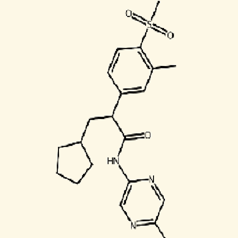 Cc1cc(C(CC2CCCC2)C(=O)Nc2cnc(Br)cn2)ccc1S(C)(=O)=O